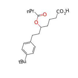 CCCC(=O)OC(CCCC(=O)O)CCc1ccc(C(C)(C)C)cc1